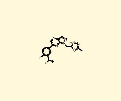 CC1=NNC(Cn2ncc3ncc(-c4ccc(F)c(C(F)F)c4)nc32)O1